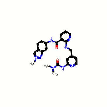 CN(C)C(=O)Nc1cc(CNc2ncccc2C(=O)Nc2ccc3cn(C)nc3c2)ccn1